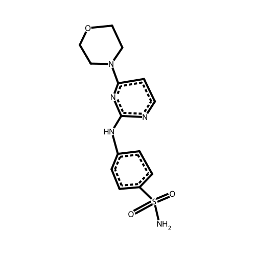 NS(=O)(=O)c1ccc(Nc2nccc(N3CCOCC3)n2)cc1